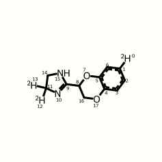 [2H]c1ccc2c(c1)OC(C1=NC([2H])([2H])CN1)CO2